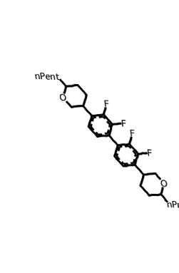 CCCCCC1CCC(c2ccc(-c3ccc(C4CCC(CCC)OC4)c(F)c3F)c(F)c2F)CO1